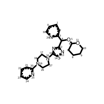 c1ccc(C(OC2CCCCO2)c2nsc(N3CCN(c4ccccn4)CC3)n2)nc1